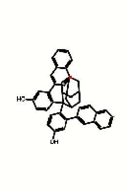 Oc1ccc(C2(c3ccc(O)cc3-c3ccc4ccccc4c3)C3CC4CC(C3)CC2C4)c(-c2ccc3ccccc3c2)c1